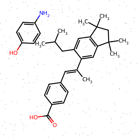 CC(=Cc1ccc(C(=O)O)cc1)c1cc2c(cc1CC(C)C)C(C)(C)CC2(C)C.Nc1ccc(O)cc1